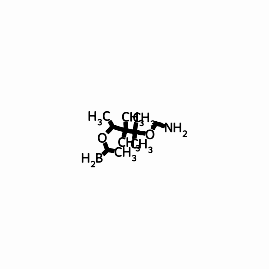 BC(C)OC(C)C(C)(C)C(C)(C)OCN